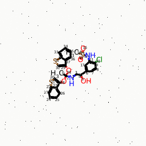 CC(NCC(O)c1ccc(Cl)c(NS(C)(=O)=O)c1)(Oc1csc2ccccc12)Oc1csc2ccccc12